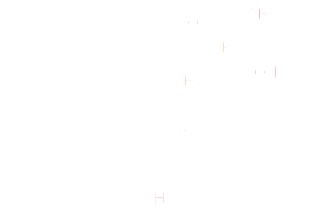 Cc1ccccc1CC(=O)O.O=P(O)(O)O